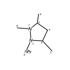 CCCN1C(C)CC(C)N1C